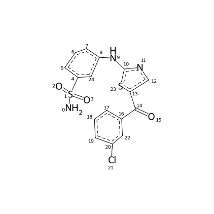 NS(=O)(=O)c1cccc(Nc2ncc(C(=O)c3cccc(Cl)c3)s2)c1